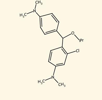 CC(C)OC(c1ccc(N(C)C)cc1)c1ccc(N(C)C)cc1Cl